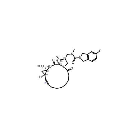 C[C@H]1[C@@H](CN(C)C(=O)N2Cc3ccc(F)cc3C2)CN2C(=O)CCCCCC/C=C\[C@@H]3C[C@@]3(C(=O)O)NC(=O)[C@H]12